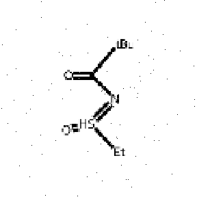 CC[SH](=O)=NC(=O)C(C)(C)C